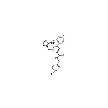 Cc1cc(F)ccc1-c1cc(Cn2ccoc2=N)cc(C(=O)NCc2ccc(F)cc2)c1